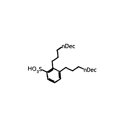 CCCCCCCCCCCCCc1cccc(S(=O)(=O)O)c1CCCCCCCCCCCCC